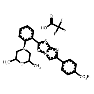 CCOC(=O)c1ccc(-c2cn3nc(-c4ccccc4N4CC(C)OC(C)C4)sc3n2)cc1.O=C(O)C(F)(F)F